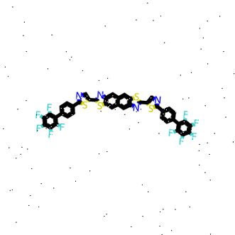 Fc1c(F)c(F)c(-c2ccc(-c3ncc(-c4nc5cc6cc7sc(-c8cnc(-c9ccc(-c%10c(F)c(F)c(F)c(F)c%10F)cc9)s8)nc7cc6cc5s4)s3)cc2)c(F)c1F